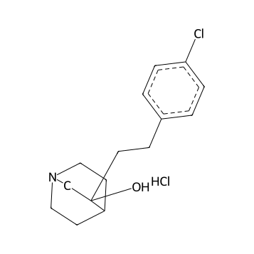 Cl.OC1(CCc2ccc(Cl)cc2)CN2CCC1CC2